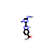 CC(C)Nc1cn(C)c(-c2nc3ccc(C(=O)C(C)(C)C)cc3[nH]2)n1